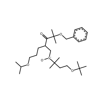 CC(C)OCCCC(C[S+]([O-])C(C)(C)CCOC(C)(C)C)C(=O)C(C)(C)OCc1ccccc1